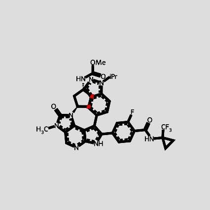 COC(=O)N[C@@H]1CC[C@@H](n2c(=O)n(C)c3cnc4[nH]c(-c5ccc(C(=O)NC6(C(F)(F)F)CC6)c(F)c5)c(-c5ccc6c(cnn6C(C)C)c5)c4c32)C1